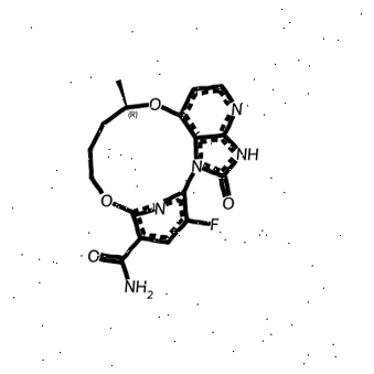 C[C@@H]1CCCOc2nc(c(F)cc2C(N)=O)-n2c(=O)[nH]c3nccc(c32)O1